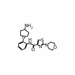 NC1CCN(c2ccccc2NC(=O)c2csc(N3CCOCC3)n2)CC1